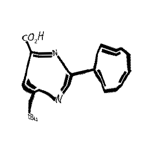 CC(C)(C)c1cc(C(=O)O)nc(-c2ccccc2)n1